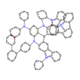 c1ccc(-c2ccccc2-c2ccc(N3c4cc5c(cc4B4c6cc7c8cccc9c%10ccccc%10n(c7cc6N(c6ccccc6-n6c7ccccc7c7ccccc76)c6cc(N(c7ccccc7)c7ccccc7)cc3c64)c98)c3ccccc3n5-c3ccccc3)cc2)cc1